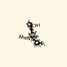 CNc1nc(C#CC2(O)CCCC2)nc2c1nc(-c1cccc(F)c1)n2C